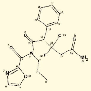 CCCN(C(=O)c1ncco1)C(=O)[C@H](c1ccccc1)C(F)(F)CC(N)=O